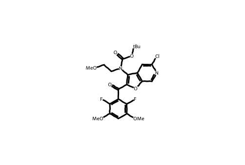 COCCN(C(=O)OC(C)(C)C)c1c(C(=O)c2c(F)c(OC)cc(OC)c2F)oc2cnc(Cl)cc12